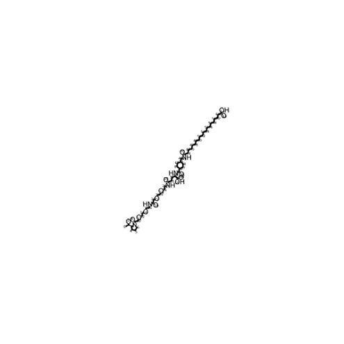 CC(=O)[C@@H]1CCCN1C(=O)COCCOCCNC(=O)COCCOCCNC(=O)CCC(NC(=O)C1CCC(CNC(=O)CCCCCCCCCCCCCCCCCCC(=O)O)CC1)C(=O)O